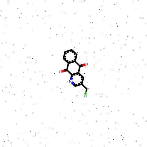 O=C1c2ccccc2C(=O)c2ncc(CCl)cc21